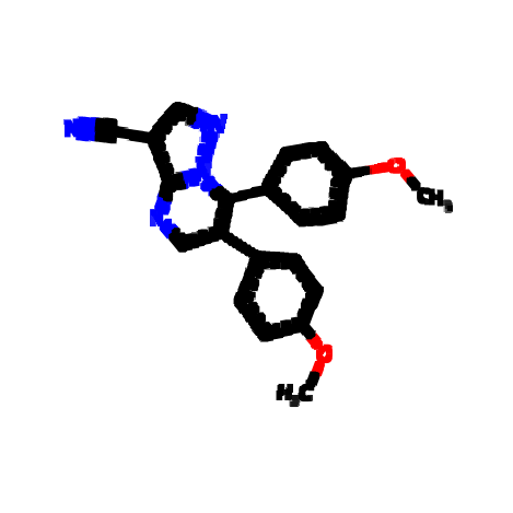 COc1ccc(-c2cnc3c(C#N)cnn3c2-c2ccc(OC)cc2)cc1